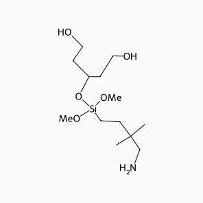 CO[Si](CCC(C)(C)CN)(OC)OC(CCO)CCO